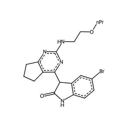 CCCOCCNc1nc2c(c(C3C(=O)Nc4ccc(Br)cc43)n1)CCC2